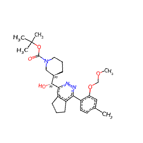 COCOc1cc(C)ccc1-c1nnc([C@H](O)[C@@H]2CCCN(C(=O)OC(C)(C)C)C2)c2c1CCC2